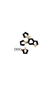 C1=C[SH](c2cc3ccsc3cc2[SH]2C=CC=C2)C=C1.O=Cc1cccs1